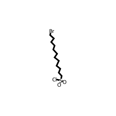 O=S(=O)(Cl)CCCCCCCCCCCCBr